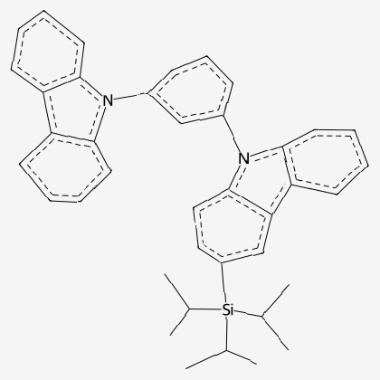 CC(C)[Si](c1ccc2c(c1)c1ccccc1n2-c1cccc(-n2c3ccccc3c3ccccc32)c1)(C(C)C)C(C)C